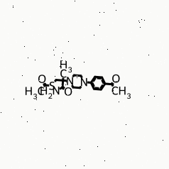 CC(=O)SCC(C)(C(N)=O)N1CCN(c2ccc(C(C)=O)cc2)CC1